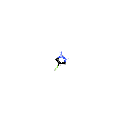 Fc1[c]n[nH]c1